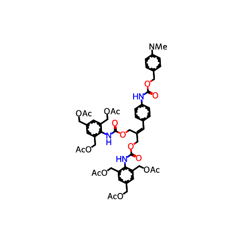 CNc1ccc(COC(=O)Nc2ccc(C=C(COC(=O)Nc3c(COC(C)=O)cc(COC(C)=O)cc3COC(C)=O)COC(=O)Nc3c(COC(C)=O)cc(COC(C)=O)cc3COC(C)=O)cc2)cc1